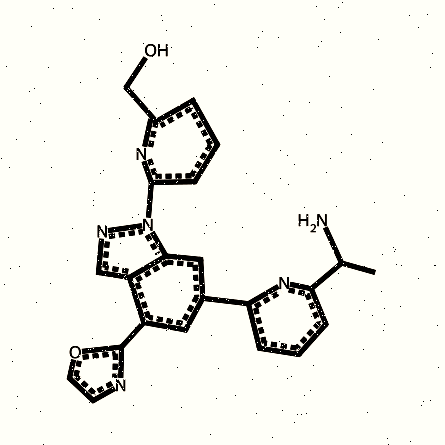 CC(N)c1cccc(-c2cc(-c3ncco3)c3cnn(-c4cccc(CO)n4)c3c2)n1